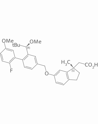 COc1ccc(F)c(-c2ccc(COc3ccc4c(c3)[C@](C)(CC(=O)O)CC4)cc2[C@H](OC)C(C)(C)C)c1